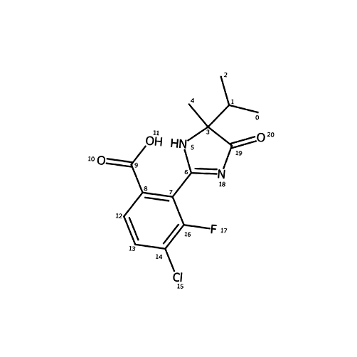 CC(C)C1(C)NC(c2c(C(=O)O)ccc(Cl)c2F)=NC1=O